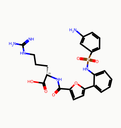 N=C(N)NCCC[C@H](NC(=O)c1ccc(-c2ccccc2NS(=O)(=O)c2cccc(N)c2)o1)C(=O)O